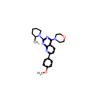 COc1ccc(-c2ccc3c(N4CCOCC4)nc(N4CCCCC4C)nc3n2)cc1